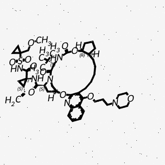 C=C[C@@H]1C[C@]1(NC(=O)[C@@H]1C[C@@H]2CN1C(=O)[C@H](C(C)(C)C)NC(=O)O[C@@H]1CCC[C@H]1CCCCCc1c(nc3ccccc3c1OCCCN1CCOCC1)O2)C(=O)NS(=O)(=O)C1(COC)CC1